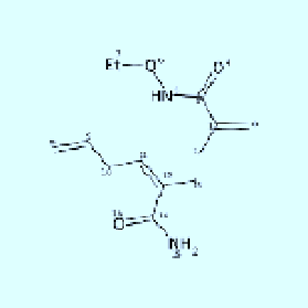 C=C(C)C(=O)NOCC.C=CCC=C(C)C(N)=O